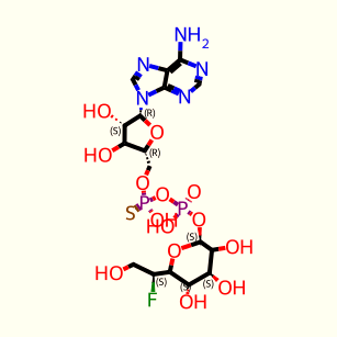 Nc1ncnc2c1ncn2[C@@H]1O[C@H](COP(O)(=S)OP(=O)(O)O[C@@H]2OC([C@@H](F)CO)[C@@H](O)[C@H](O)C2O)C(O)[C@@H]1O